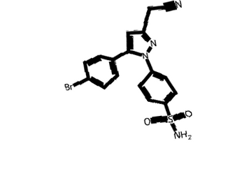 N#CCc1cc(-c2ccc(Br)cc2)n(-c2ccc(S(N)(=O)=O)cc2)n1